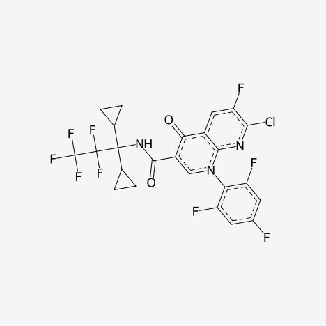 O=C(NC(C1CC1)(C1CC1)C(F)(F)C(F)(F)F)c1cn(-c2c(F)cc(F)cc2F)c2nc(Cl)c(F)cc2c1=O